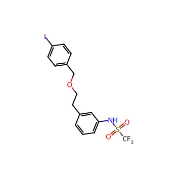 O=S(=O)(Nc1cccc(CCOCc2ccc(I)cc2)c1)C(F)(F)F